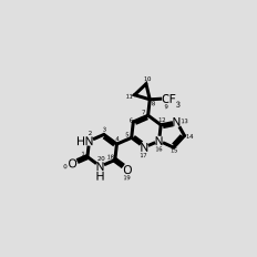 O=c1[nH]cc(-c2cc(C3(C(F)(F)F)CC3)c3nccn3n2)c(=O)[nH]1